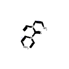 C=CN(/C=C\N)C(=S)N(C=C)/C=C\N